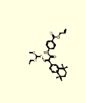 C=CCOC(=O)c1ccc(NC(=O)C(=NOC(OC)OCC)c2ccc3c(c2)C(C)(C)CCC3(C)C)cc1